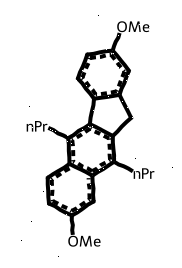 CCCc1c2c(c(CCC)c3ccc(OC)cc13)-c1ccc(OC)cc1C2